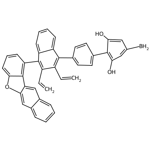 Bc1cc(O)c(-c2ccc(-c3c(C=C)c(C=C)c(-c4cccc5oc6cc7ccccc7cc6c45)c4ccccc34)cc2)c(O)c1